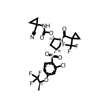 C[C@H](Oc1ccc(S(=O)(=O)[C@@H]2C[C@H](OC(=O)NC3(C#N)CC3)N(C(=O)C3(C(F)(F)F)CC3)C2)c(Cl)c1)C(F)(F)F